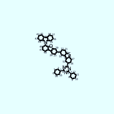 c1ccc(-c2nc(-c3ccccc3)nc(-c3ccc4sc5ccc(-c6ccc7c(c6)oc6c(-n8c9ccccc9c9ccccc98)cccc67)cc5c4c3)n2)cc1